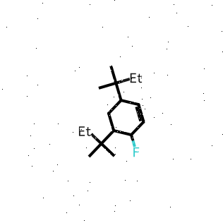 CCC(C)(C)C1C=CC(F)C(C(C)(C)CC)C1